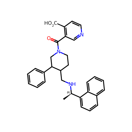 C[C@@H](NCC1CCN(C(=O)c2cnccc2C(=O)O)CC1c1ccccc1)c1cccc2ccccc12